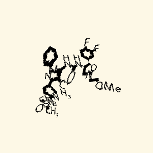 COCCN1C[C@@H](NC(=O)Nc2c(C)c(-c3ccc(N=S(C)(C)=O)nc3)nn2-c2ccccc2)[C@H](c2ccc(F)c(F)c2)O1